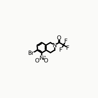 O=C(N1CCc2c(ccc(Br)c2[N+](=O)[O-])C1)C(F)(F)F